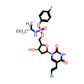 CCOC(=O)[C@H](C)NP(=O)(OCC1O[C@@H](n2cc(/C=C/Br)c(=O)[nH]c2=O)C[C@H]1O)Oc1ccc(F)cc1